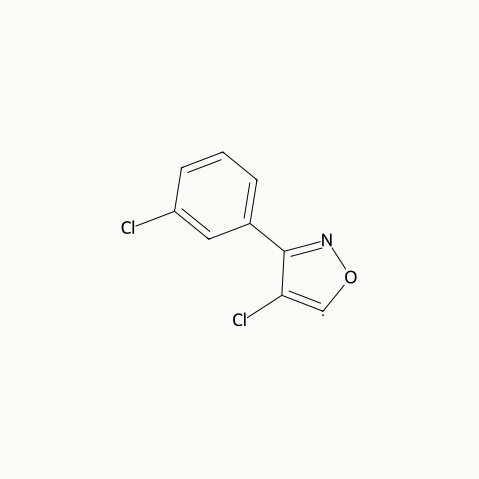 Clc1cccc(-c2no[c]c2Cl)c1